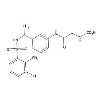 Cc1c(Cl)cccc1S(=O)(=O)NC(C)c1cccc(NC(=O)CNC(=O)O)c1